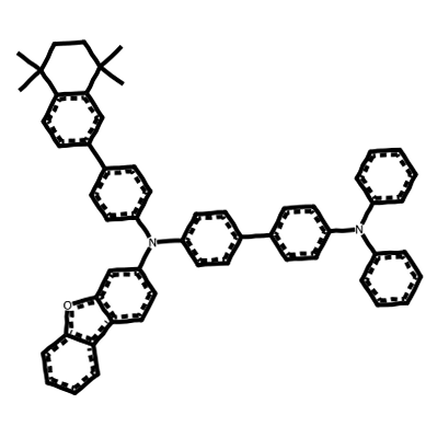 CC1(C)CCC(C)(C)c2cc(-c3ccc(N(c4ccc(-c5ccc(N(c6ccccc6)c6ccccc6)cc5)cc4)c4ccc5c(c4)oc4ccccc45)cc3)ccc21